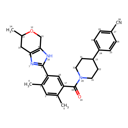 Cc1cc(C)c(-c2nc3c([nH]2)COC(C)C3)cc1C(=O)N1CCC(c2ccc(C#N)cc2)CC1